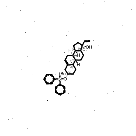 C=C[C@]1(O)CC[C@H]2[C@@H]3CC=C4C[C@@H](O[Si](c5ccccc5)(c5ccccc5)C(C)(C)C)CC[C@]4(C)[C@H]3CC[C@@]21C